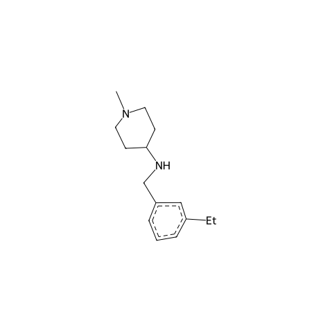 CCc1cccc(CNC2CCN(C)CC2)c1